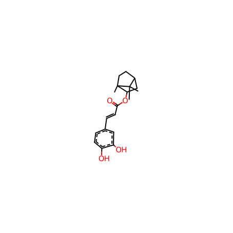 CC1(C)C2CCC1(C)C(OC(=O)C=Cc1ccc(O)c(O)c1)C2